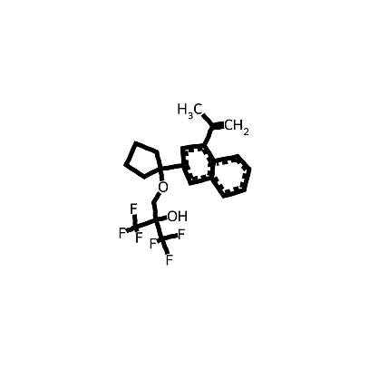 C=C(C)c1cc(C2(OCC(O)(C(F)(F)F)C(F)(F)F)CCCC2)cc2ccccc12